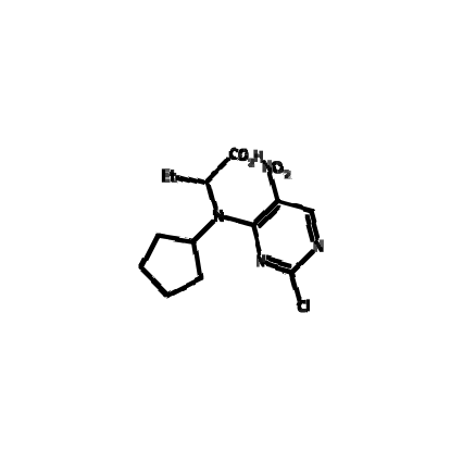 CCC(C(=O)O)N(c1nc(Cl)ncc1[N+](=O)[O-])C1CCCC1